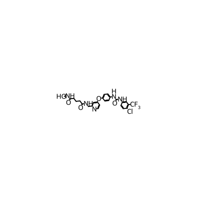 O=C(CCCC(=O)NCc1cc(Oc2ccc(NC(=O)Nc3ccc(Cl)c(C(F)(F)F)c3)cc2)ccn1)NO